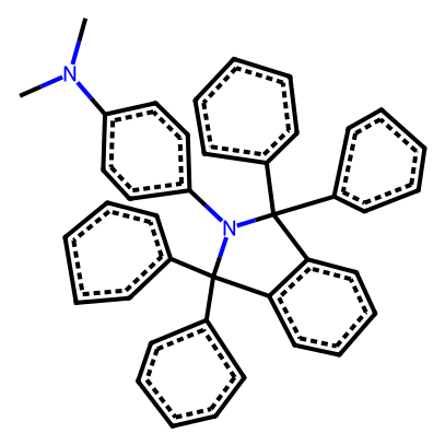 CN(C)c1ccc(N2C(c3ccccc3)(c3ccccc3)c3ccccc3C2(c2ccccc2)c2ccccc2)cc1